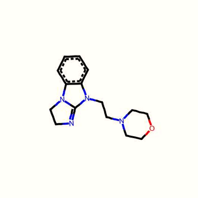 c1ccc2c(c1)N1CCN=C1N2CCN1CCOCC1